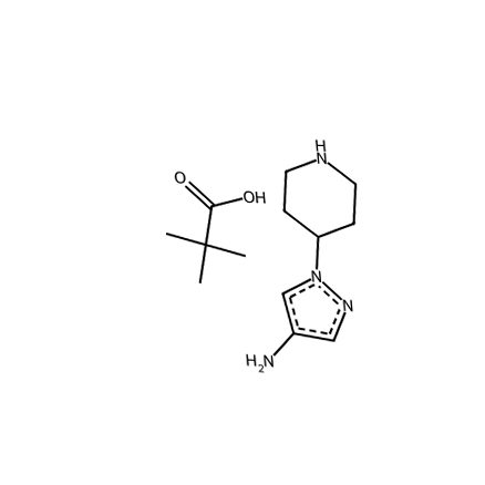 CC(C)(C)C(=O)O.Nc1cnn(C2CCNCC2)c1